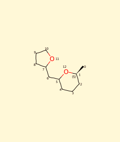 C[C@H]1CCCC(CC2CCCO2)O1